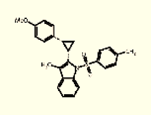 COc1ccc([C@@H]2C[C@@H]2c2c(C)c3ccccc3n2S(=O)(=O)c2ccc(C)cc2)cc1